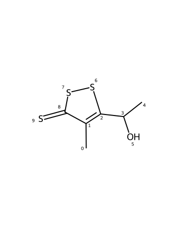 Cc1c(C(C)O)ssc1=S